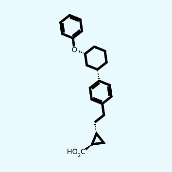 O=C(O)[C@@H]1C[C@H]1CCc1ccc([C@H]2CCC[C@@H](Oc3ccccc3)C2)cc1